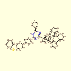 c1ccc(-c2nc(-c3ccc(-c4ccc5sc6ccccc6c5c4)cc3)nc(-c3ccc(-c4cccc5c4C4(c6ccccc6-c6ccccc64)c4ccccc4-5)cc3)n2)cc1